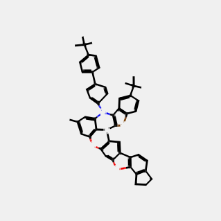 Cc1cc2c3c(c1)N(c1ccc(-c4ccc(C(C)(C)C)cc4)cc1)c1c(sc4ccc(C(C)(C)C)cc14)B3c1cc3c(cc1O2)oc1c2c(ccc13)CCC2